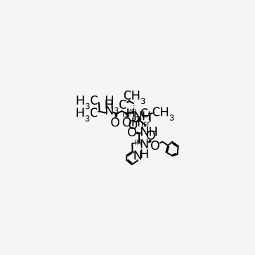 CCC(C)CNC(=O)C[C@H](O)[C@H](CC(C)C)NC(=O)[C@H](CC(C)C)NC(=O)[C@H](Cc1ccccn1)NC(=O)OCc1ccccc1